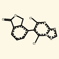 O=C1OCc2c1cccc2-c1c(Cl)nc2ncnn2c1Cl